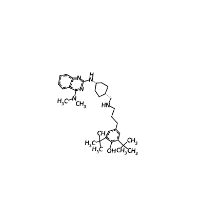 CN(C)c1nc(N[C@H]2CC[C@@H](CNCCCc3cc(C(C)(C)C)c(O)c(C(C)(C)C)c3)CC2)nc2ccccc12